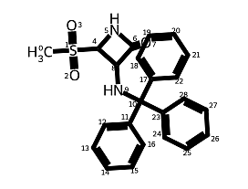 CS(=O)(=O)C1NC(=O)C1NC(c1ccccc1)(c1ccccc1)c1ccccc1